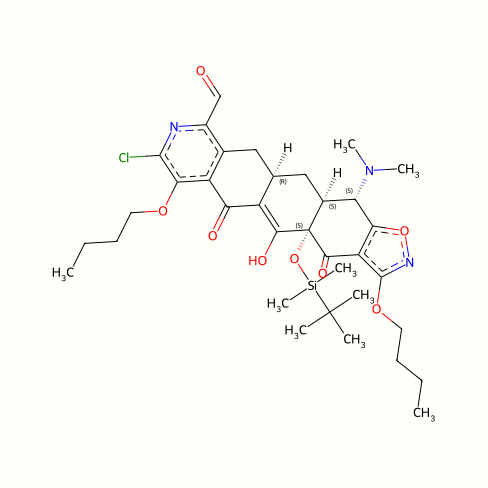 CCCCOc1noc2c1C(=O)[C@@]1(O[Si](C)(C)C(C)(C)C)C(O)=C3C(=O)c4c(c(C=O)nc(Cl)c4OCCCC)C[C@H]3C[C@H]1[C@@H]2N(C)C